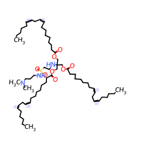 CCCCC/C=C\C/C=C\CCCCCCCC(=O)OCC(COC(=O)CCCCCCC/C=C\C/C=C\CCCCC)(COC(=O)CCCCCCC/C=C\C/C=C\CCCCC)NCCS(=O)(=O)NCCCN(C)C